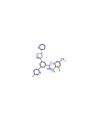 Cc1ccc(-c2cc(C(=O)N[C@H](C)c3ncc(C(F)(F)F)cc3F)cc(C3=NO[C@H](c4ccccn4)C3)c2)nc1